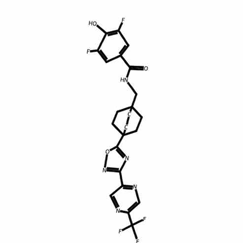 O=C(NCC12CCC(c3nc(-c4cnc(C(F)(F)F)cn4)no3)(CC1)CC2)c1cc(F)c(O)c(F)c1